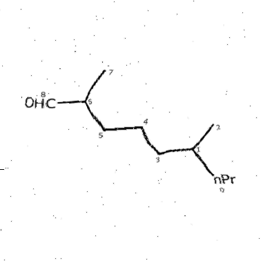 CCCC(C)CCCC(C)C=O